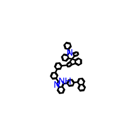 c1ccc(N2c3ccccc3C3(c4ccccc4-c4ccc(-c5cccc(-c6cccc(C7N=c8ccccc8=C(c8ccc(-c9cccc%10ccccc9%10)cc8)N7)c6)c5)cc43)c3ccccc32)cc1